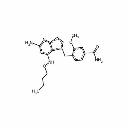 CCCCONc1nc(N)nc2ccn(Cc3ccc(C(N)=O)cc3OC)c12